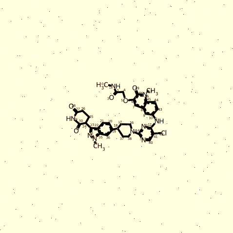 CNC(=O)COc1cc2cc(Nc3nc(N4CCC(c5ccc6c(C7CCC(=O)NC7=O)nn(C)c6c5)CC4)ncc3Cl)ccc2n(C)c1=O